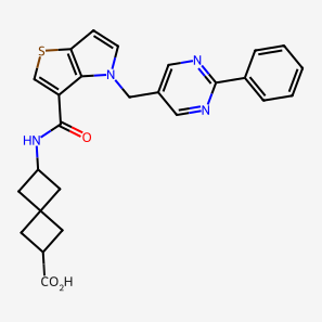 O=C(NC1CC2(C1)CC(C(=O)O)C2)c1csc2ccn(Cc3cnc(-c4ccccc4)nc3)c12